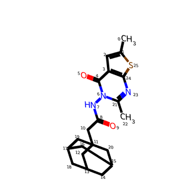 Cc1cc2c(=O)n(NC(=O)CC34CC5CC(CC(C5)C3)C4)c(C)nc2s1